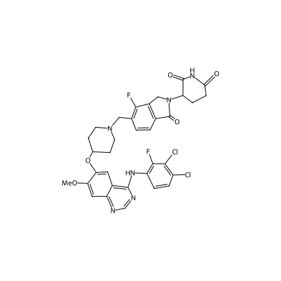 COc1cc2ncnc(Nc3ccc(Cl)c(Cl)c3F)c2cc1OC1CCN(Cc2ccc3c(c2F)CN(C2CCC(=O)NC2=O)C3=O)CC1